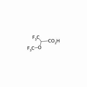 O=C(O)C(OC(F)(F)F)C(F)(F)F